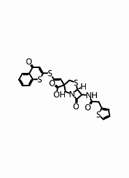 O=C(Cc1cccs1)NC1C(=O)N2CC(C=CSc3cc(=O)c4ccccc4s3)(C(=O)O)CS[C@H]12